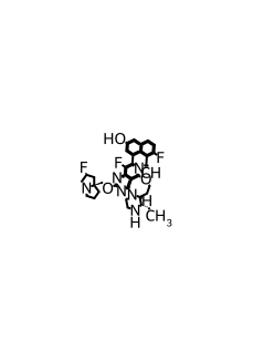 C#Cc1c(F)ccc2cc(O)cc(-c3nc4c5c(nc(OC[C@@]67CCCN6C[C@H](F)C7)nc5c3F)N3CCN[C@@H](CC)[C@H]3CCO4)c12